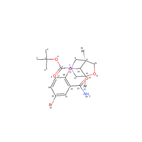 CC(C)(C)OC(=O)N1C[C@H]2CO[C@@H](C1)C2Oc1ccc(Br)cc1C(N)=O